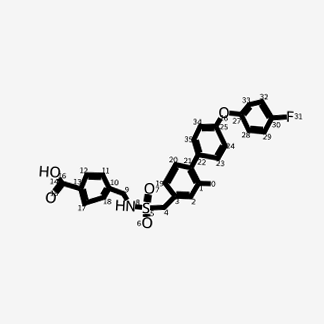 Cc1cc(CS(=O)(=O)NCc2ccc(C(=O)O)cc2)ccc1-c1ccc(Oc2ccc(F)cc2)cc1